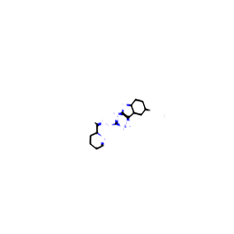 C/C(=N/Nc1nnc2c(n1)NC1CCC(C)CC21)C1CCCC=N1